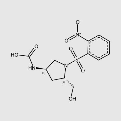 O=C(O)N[C@@H]1C[C@@H](CO)N(S(=O)(=O)c2ccccc2[N+](=O)[O-])C1